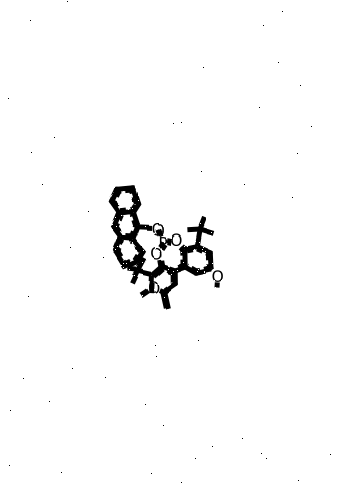 C=C(/C=c1\c(=C(/C)C(C)(C)C)op(Oc2c3ccccc3cc3ccccc23)oc2c(C(C)(C)C)cc(OC)cc12)OC